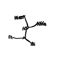 CCN([SiH](NC)NC)C(C)(C)C